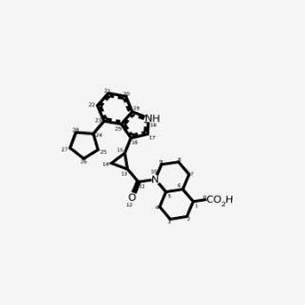 O=C(O)C1CCCC2C1CCCN2C(=O)C1CC1c1c[nH]c2cccc(C3CCCC3)c12